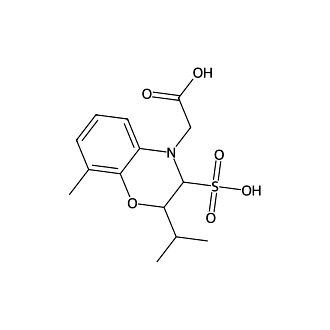 Cc1cccc2c1OC(C(C)C)C(S(=O)(=O)O)N2CC(=O)O